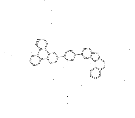 c1ccc2c(c#1)c1ccccc1c1ccc(-c3ccc(-c4ccc5sc6ccc7ccccc7c6c5c4)cc3)cc21